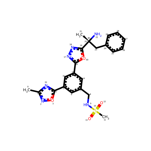 Cc1noc(-c2cc(CNS(C)(=O)=O)cc(-c3nnc([C@](C)(N)Cc4ccccc4)o3)c2)n1